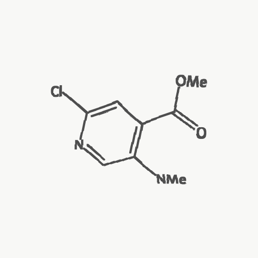 CNc1cnc(Cl)cc1C(=O)OC